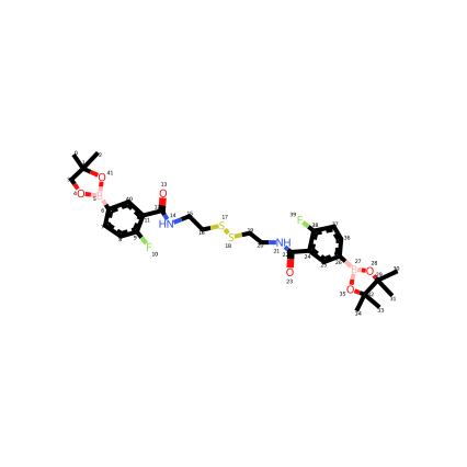 CC1(C)COB(c2ccc(F)c(C(=O)NCCSSCCNC(=O)c3cc(B4OC(C)(C)C(C)(C)O4)ccc3F)c2)O1